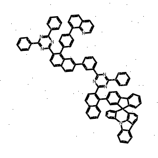 c1ccc(-c2nc(-c3cccc(-c4ccc5ccc(-c6nc(-c7ccccc7)nc(-c7ccccc7)n6)c(-c6ccc(-c7cccc8cccnc78)cc6)c5c4)c3)nc(-c3ccc4ccccc4c3-c3ccc4c(c3)C3(c5ccccc5-4)c4ccccc4-n4c5ccccc5c5cccc3c54)n2)cc1